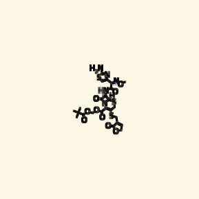 CO/N=C(\C(=O)N[C@@H]1C(=O)N2C(C(=O)OCOC(=O)C(C)(C)C)=C(SCC3=CCOC3=O)CS[C@@H]12)c1csc(N)n1